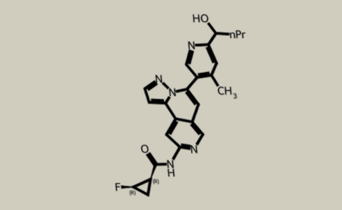 CCCC(O)c1cc(C)c(-c2cc3cnc(NC(=O)[C@H]4C[C@H]4F)cc3c3ccnn23)cn1